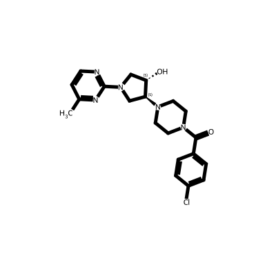 Cc1ccnc(N2C[C@H](O)[C@@H](N3CCN(C(=O)c4ccc(Cl)cc4)CC3)C2)n1